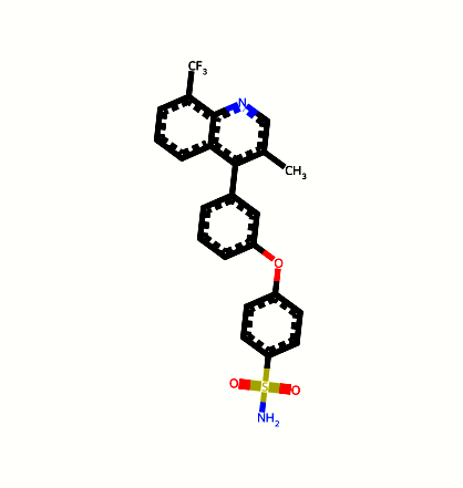 Cc1cnc2c(C(F)(F)F)cccc2c1-c1cccc(Oc2ccc(S(N)(=O)=O)cc2)c1